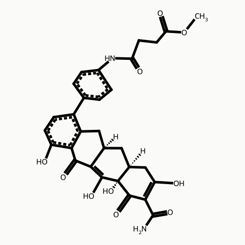 COC(=O)CCC(=O)Nc1ccc(-c2ccc(O)c3c2C[C@H]2C[C@H]4CC(O)=C(C(N)=O)C(=O)[C@@]4(O)C(O)=C2C3=O)cc1